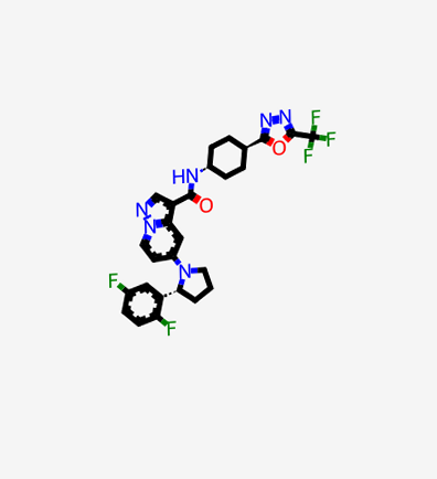 O=C(N[C@H]1CC[C@H](c2nnc(C(F)(F)F)o2)CC1)c1cnn2ccc(N3CCC[C@@H]3c3cc(F)ccc3F)cc12